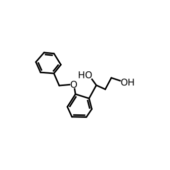 OCCC(O)c1ccccc1OCc1ccccc1